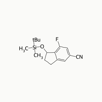 CC(C)(C)[Si](C)(C)OC1CCc2cc(C#N)cc(F)c21